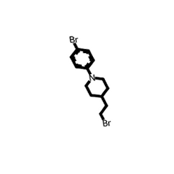 BrCCC1CCN(c2ccc(Br)cc2)CC1